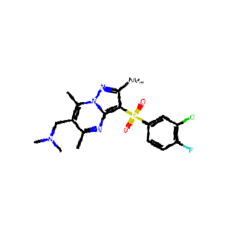 CNc1nn2c(C)c(CN(C)C)c(C)nc2c1S(=O)(=O)c1ccc(F)c(Cl)c1